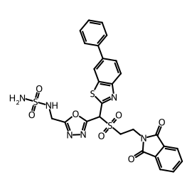 NS(=O)(=O)NCc1nnc(C(c2nc3ccc(-c4ccccc4)cc3s2)S(=O)(=O)CCN2C(=O)c3ccccc3C2=O)o1